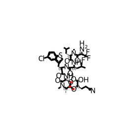 CC(C)C[C@H](NC(=O)[C@H](Cc1csc2ccc(Cl)cc12)N(C)C(=O)[C@H](CC(C)C)NC(=O)[C@H](CC(C)C)N(C)C(=O)[C@@H](N)C(F)(F)F)C(=O)N(C)[C@@H](C)C(=O)O[C@H](CCC#N)C(=O)O